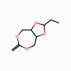 C=C1OCC2OC(CC)OC2CO1